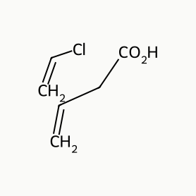 C=CCC(=O)O.C=CCl